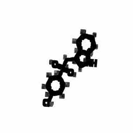 O=S(=O)(Cc1c[nH]c2ccccc12)c1ccc(Cl)cc1